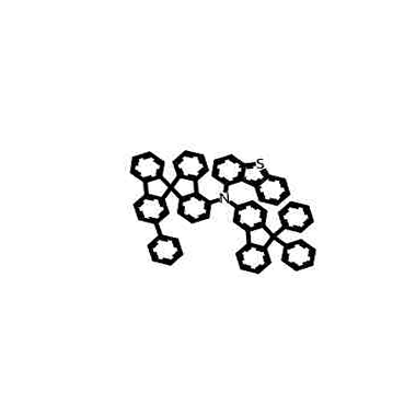 c1ccc(-c2ccc3c(c2)C2(c4ccccc4-3)c3ccccc3-c3c(N(c4ccc5c(c4)-c4ccccc4C5(c4ccccc4)c4ccccc4)c4cccc5sc6ccccc6c45)cccc32)cc1